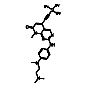 CC(C)[Si](C#Cc1cc(=O)n(C)c2nc(Nc3ccc(N(C)CCN(C)C)cc3)ncc12)(C(C)C)C(C)C